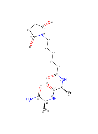 CC(C)[C@H](NC(=O)CCCCCN1C(=O)CCC1=O)C(=O)N[C@@H](C)C(N)=O